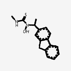 CNC(=S)N(O)C(C)c1ccc2c(c1)Cc1ccccc1-2